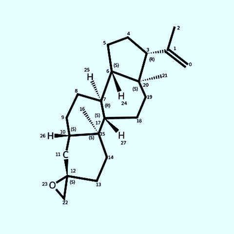 C=C(C)[C@H]1CC[C@H]2[C@@H]3CC[C@H]4C[C@@]5(CC[C@]4(C)[C@H]3CC[C@]12C)CO5